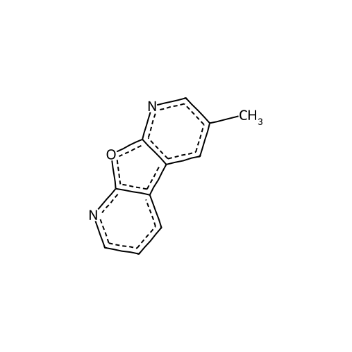 Cc1cnc2oc3ncccc3c2c1